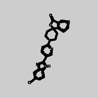 O=C1OC2(CCN(c3ccc(-c4nc5cc(Cl)ccc5[nH]4)cn3)CC2)c2ccncc21